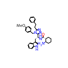 COc1ccc(Cn2c(CCc3ccccc3)nnc2[C@@H](Cc2c[nH]c3ccccc23)NC(=O)[C@@H]2CCCC[C@H]2N)cc1